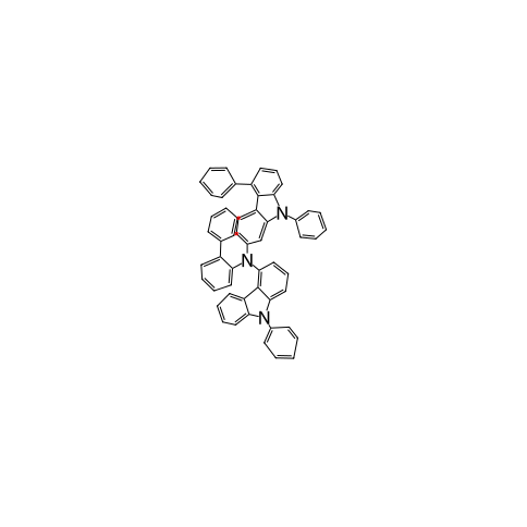 c1ccc(-c2ccccc2N(c2ccc3c4c(-c5ccccc5)cccc4n(-c4ccccc4)c3c2)c2cccc3c2c2ccccc2n3-c2ccccc2)cc1